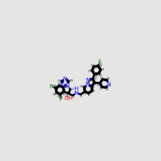 O[C@@](CNCc1ccc2c(-c3ccncc3)c(-c3ccc(F)cc3)nn2c1)(Cn1cncn1)c1ccc(F)cc1F